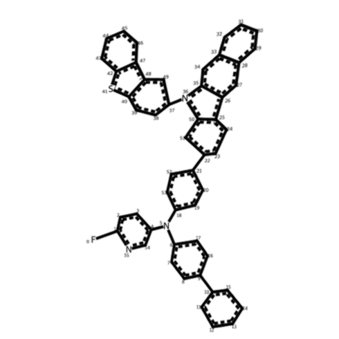 Fc1ccc(N(c2ccc(-c3ccccc3)cc2)c2ccc(-c3ccc4c5cc6ccccc6cc5n(-c5ccc6sc7ccccc7c6c5)c4c3)cc2)cn1